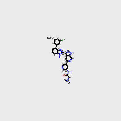 COc1cc(F)cc(-c2cccc3[nH]c(-c4n[nH]c5cnc(-c6cncc(NC(=O)CN(C)C)c6)cc45)nc23)c1